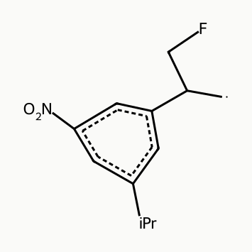 [CH2]C(CF)c1cc(C(C)C)cc([N+](=O)[O-])c1